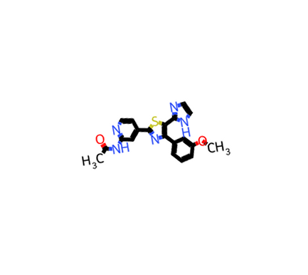 COc1cccc(-c2nc(-c3ccnc(NC(C)=O)c3)sc2-c2ncc[nH]2)c1